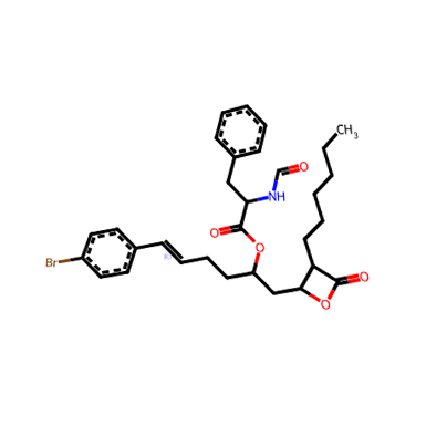 CCCCCCC1C(=O)OC1CC(CC/C=C/c1ccc(Br)cc1)OC(=O)C(Cc1ccccc1)NC=O